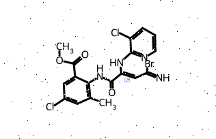 COC(=O)c1cc(Cl)cc(C)c1NC(=O)/C(=C/C(=N)Br)Nc1ncccc1Cl